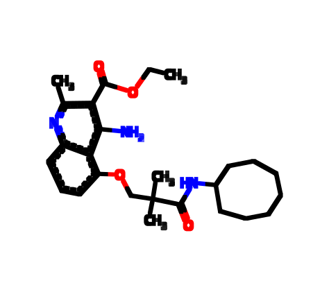 CCOC(=O)c1c(C)nc2cccc(OCC(C)(C)C(=O)NC3CCCCCCC3)c2c1N